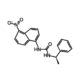 C[C@@H](NC(=O)Nc1cccc2c([N+](=O)[O-])cccc12)c1ccccc1